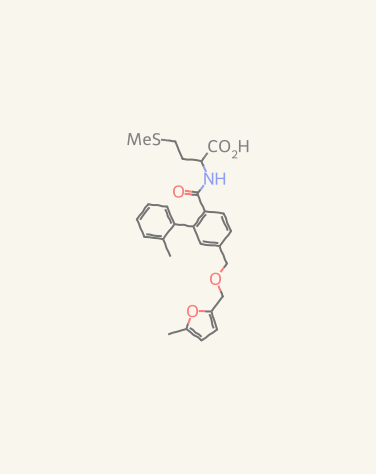 CSCCC(NC(=O)c1ccc(COCc2ccc(C)o2)cc1-c1ccccc1C)C(=O)O